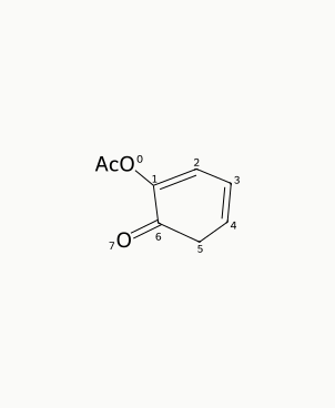 CC(=O)OC1=CC=CCC1=O